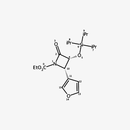 CCOC(=O)N1C(=O)[C@H](O[Si](C(C)C)(C(C)C)C(C)C)[C@@H]1c1ccoc1